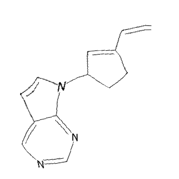 C=CC1=CC(n2ccc3cncnc32)CC1